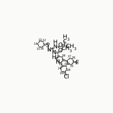 CC(C)(C)OC(=O)N/C(=N\Sc1ccccc1)NCc1cnc(-c2ccc(Cl)cc2)c(-c2ccc(F)cc2)c1